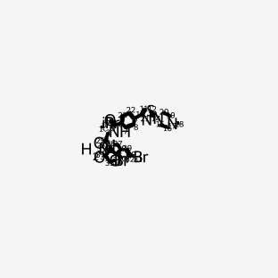 CC(C)C[C@H](NC(=O)c1ccc(-c2csc(N3CCN(C)CC3)n2)cc1)C(=O)N1C[C@@H](C=C(Br)Br)[C@H]2OCC(=O)[C@]21N